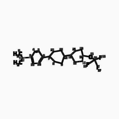 CC(C)c1ccc(C2CCC(C3CCC(OC(F)(F)F)CC3)CC2)cc1